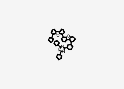 c1ccc(-c2nc(-c3ccccc3)nc(-c3cccc(-c4cccc5oc6c(-c7cccc8c7oc7c(-c9ccccc9)cccc78)cccc6c45)c3)n2)cc1